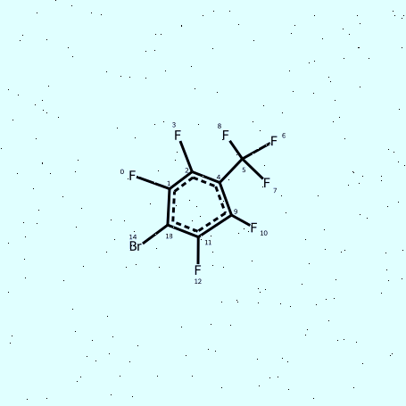 Fc1c(F)c(C(F)(F)F)c(F)c(F)c1Br